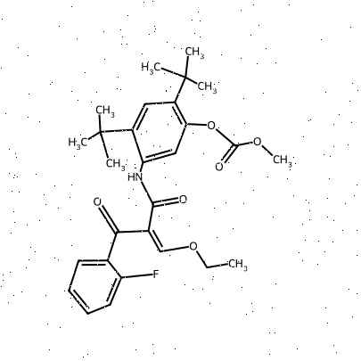 CCO/C=C(\C(=O)Nc1cc(OC(=O)OC)c(C(C)(C)C)cc1C(C)(C)C)C(=O)c1ccccc1F